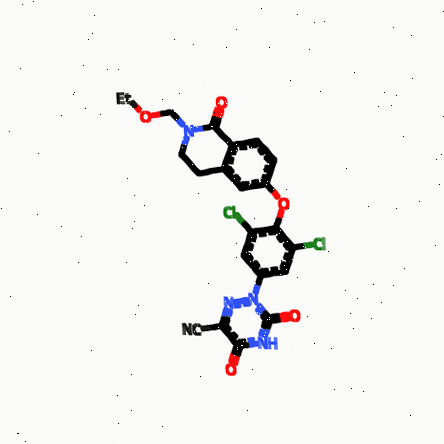 CCOCN1CCc2cc(Oc3c(Cl)cc(-n4nc(C#N)c(=O)[nH]c4=O)cc3Cl)ccc2C1=O